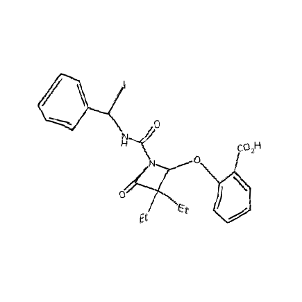 CCC1(CC)C(=O)N(C(=O)NC(I)c2ccccc2)C1Oc1ccccc1C(=O)O